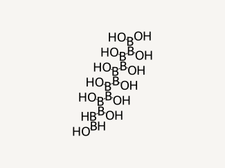 OBBB(O)B(O)B(O)B(O)B(O)B(O)B(O)B(O)B(O)B(O)O